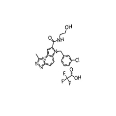 Cc1nnc2ccc3c(cc(C(=O)NCCO)n3Cc3cccc(Cl)c3)n12.O=C(O)C(F)(F)F